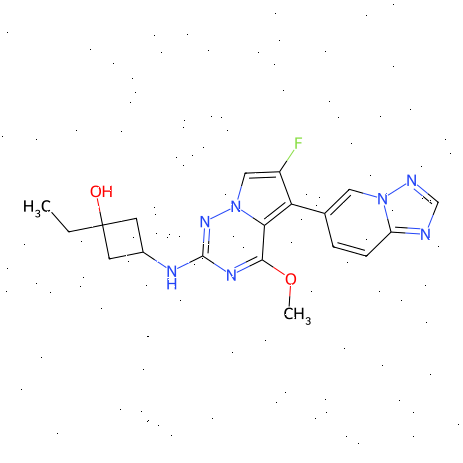 CCC1(O)CC(Nc2nc(OC)c3c(-c4ccc5ncnn5c4)c(F)cn3n2)C1